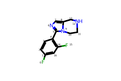 Fc1ccc(-c2ncc3n2CCNC3)c(F)c1